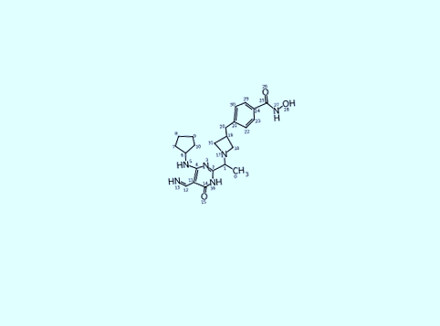 CC(c1nc(NC2CCCC2)c(C=N)c(=O)[nH]1)N1CC(Cc2ccc(C(=O)NO)cc2)C1